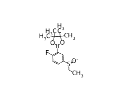 CC[S+]([O-])c1ccc(F)c(B2OC(C)(C)C(C)(C)O2)c1